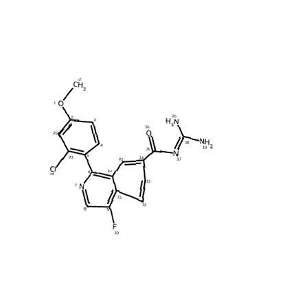 COc1ccc(-c2ncc(F)c3ccc(C(=O)N=C(N)N)cc23)c(Cl)c1